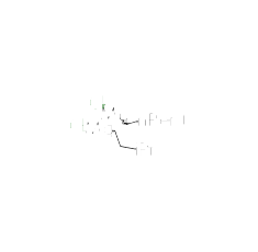 CC(C)C[CH2][Mg][Cl].CCCCC[CH2][Mg][Cl]